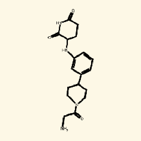 NCC(=O)N1CCC(c2cccc(NC3CCC(=O)NC3=O)c2)CC1